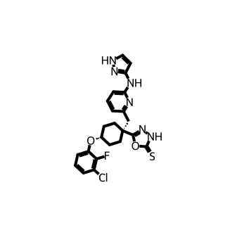 Fc1c(Cl)cccc1O[C@H]1CC[C@](Cc2cccc(Nc3cc[nH]n3)n2)(c2n[nH]c(=S)o2)CC1